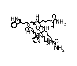 NC(=O)NCCCC(NC(=O)CN(CCc1c[nH]c2ccccc12)C(=O)CNCc1cccnc1)C(=O)NC(CCCNC1OC1N)C(=O)NCCS